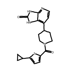 O=C(c1ccc(C2CC2)s1)N1CCC(c2ccnc3[nH]c(=O)[nH]c23)CC1